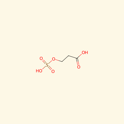 O=C(O)CCOS(=O)(=O)O